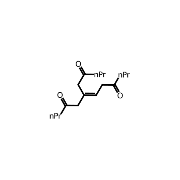 CCCC(=O)CC=C(CC(=O)CCC)CC(=O)CCC